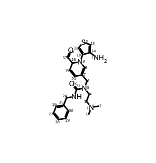 CN(C)CCN(CC1=CN(c2cscc2N)C([C]=O)C=C1)C(=O)NCc1ccccc1